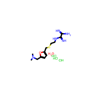 CN(C)Cc1ccc(CSCCNC(=N)C(=N)N)o1.Cl.Cl.Cl.O